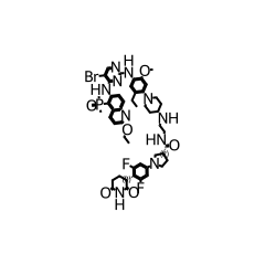 CCOc1ccc2c(P(C)(C)=O)c(Nc3nc(Nc4cc(CC)c(N5CCC(NCCNC(=O)[C@@H]6CCN(c7cc(F)c([C@H]8CCC(=O)NC8=O)c(F)c7)C6)CC5)cc4OC)ncc3Br)ccc2n1